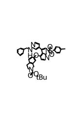 Cc1ccc(S(=O)(=O)n2cc(-c3ccnc(NCc4ccccc4)c3)c3c(Oc4ccc5c(c4)CN(C(=O)OC(C)(C)C)CC5)ccnc32)cc1